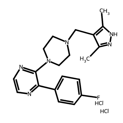 Cc1n[nH]c(C)c1CN1CCN(c2nccnc2-c2ccc(F)cc2)CC1.Cl.Cl